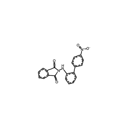 O=C1c2ccccc2C(=O)N1Nc1ccccc1-c1ccc([N+](=O)[O-])cc1